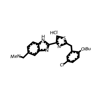 CNCc1ccc2[nH]c(-c3csc(Cc4cc(Cl)ccc4OCC(C)C)n3)nc2c1.Cl